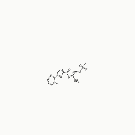 Cc1ccccc1-c1ccc(C(=O)N=C(N)NOS(C)(=O)=O)o1